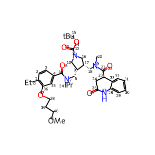 CCc1ccc(C(=O)N(C[C@@H]2CN(C(=O)OC(C)(C)C)C[C@@H]2CN(C)C(=O)[C@@H]2CC(=O)Nc3ccccc32)C(C)C)cc1OCCCOC